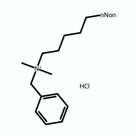 CCCCCCCCCCCCCC[N+](C)(C)Cc1ccccc1.Cl